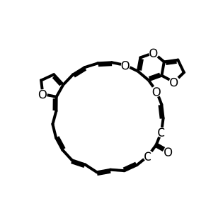 O=C1C\C=C/C=C/C=C/C=C\C/C=C2\OCC=C2/C=C\C=C/OC2=COC3=CCOC3=C2O/C=C\C1